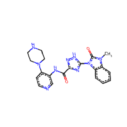 Cn1c(=O)n(-c2nc(C(=O)Nc3cnccc3N3CCNCC3)n[nH]2)c2ccccc21